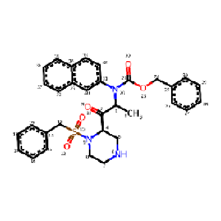 CC(C(=O)C1CNCCN1S(=O)(=O)Cc1ccccc1)N(C(=O)OCc1ccccc1)c1ccc2ccccc2c1